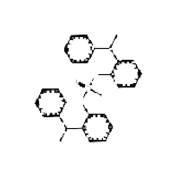 CC(c1ccccc1)c1ccccc1OP(C)(=O)Oc1ccccc1C(C)c1ccccc1